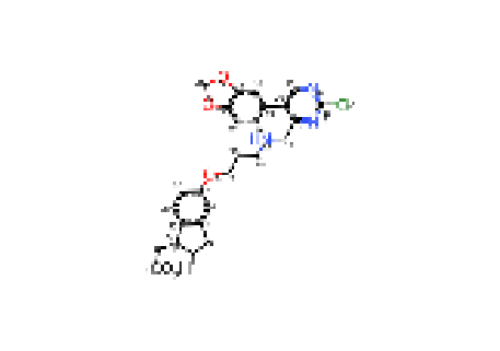 O=C(O)C[C@@H]1CCc2cc(OCCCNCc3nc(Cl)ncc3-c3ccc4c(c3)OCO4)ccc21